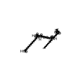 CCCCCCCCCCCCC(NC(=O)CCCCCN1C(=O)CC(C(C)C)C1=O)C(=O)NCCOCCOCCC(=O)NCC(NC(=O)CCCCCCCCCCCCCCCCC(=O)O)C(=O)O